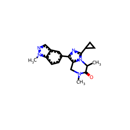 CC1C(=O)N(C)Cc2c(-c3ccc4c(cnn4C)c3)nc(C3CC3)n21